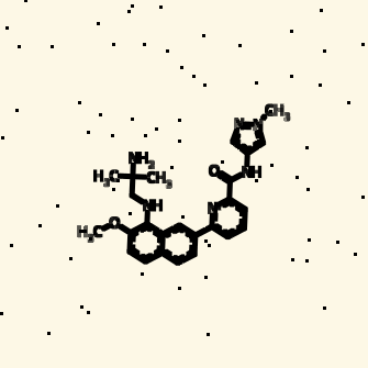 COc1ccc2ccc(-c3cccc(C(=O)Nc4cnn(C)c4)n3)cc2c1NCC(C)(C)N